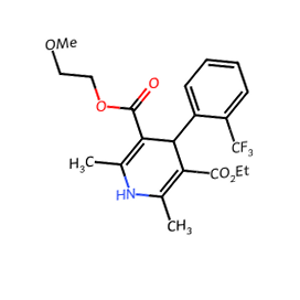 CCOC(=O)C1=C(C)NC(C)=C(C(=O)OCCOC)C1c1ccccc1C(F)(F)F